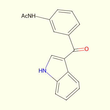 CC(=O)Nc1cccc(C(=O)c2c[nH]c3ccccc23)c1